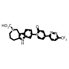 O=C(O)N1CCCc2[nH]c3cc(-n4ccc(-c5ccc(C(F)(F)F)nn5)cc4=O)ccc3c2C1